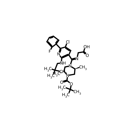 C[C@@H]1CN(C(=NCC(=O)O)c2cc(Cl)c(-c3ccccc3F)nc2NCC(C)(C)C)[C@@H](C)CN1C(=O)OC(C)(C)C